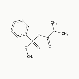 COP(=O)(OC(=O)C(C)C)c1ccccc1